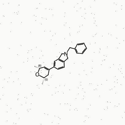 C[C@@H]1C=C(c2ccc3c(c2)CN(Cc2ccccc2)C3)C[C@H](C)O1